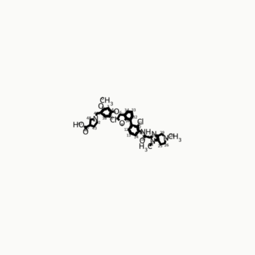 COc1cc(OC2COc3c(-c4cccc(NC(=O)c5nc6c(n5C)CCN(C)C6)c4Cl)cccc32)c(Cl)cc1CN1CCC(C(=O)O)C1